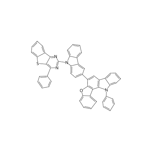 c1ccc(-c2nc(-n3c4ccccc4c4cc(-c5cc6c7ccccc7n(-c7ccccc7)c6c6c5oc5ccccc56)ccc43)nc3c2sc2ccccc23)cc1